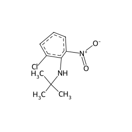 CC(C)(C)Nc1c(Cl)cccc1[N+](=O)[O-]